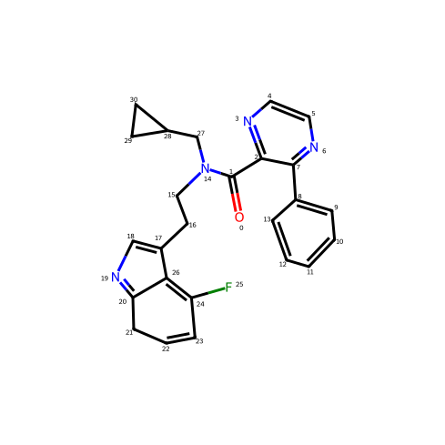 O=C(c1nccnc1-c1ccccc1)N(CCC1=CN=C2CC=CC(F)=C12)CC1CC1